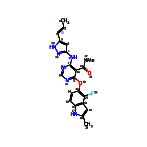 C/C=C/c1cc(Nc2ncnc(Oc3ccc4[nH]c(C)cc4c3F)c2C(=O)NC)n[nH]1